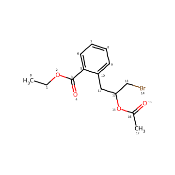 CCOC(=O)c1ccccc1CC(CBr)OC(C)=O